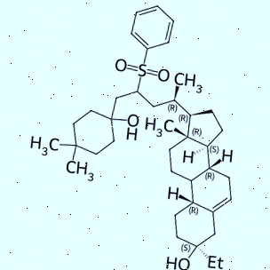 CC[C@]1(O)CC[C@H]2C(=CC[C@@H]3C2CC[C@]2(C)[C@@H]([C@H](C)CC(CC4(O)CCC(C)(C)CC4)S(=O)(=O)c4ccccc4)CC[C@@H]32)C1